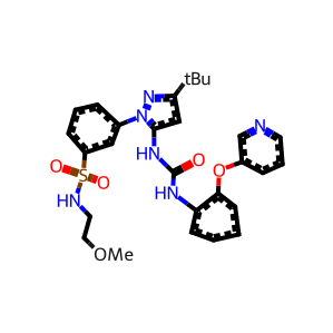 COCCNS(=O)(=O)c1cccc(-n2nc(C(C)(C)C)cc2NC(=O)Nc2ccccc2Oc2cccnc2)c1